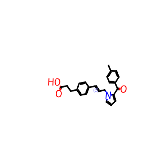 Cc1ccc(C(=O)c2cccn2C/C=C/c2ccc(CCC(=O)O)cc2)cc1